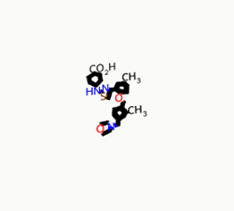 Cc1ccc(OCc2ccc(CN3CCOCC3)cc2C)c(-c2csc(N[C@H]3CC[C@@H](C(=O)O)CC3)n2)c1